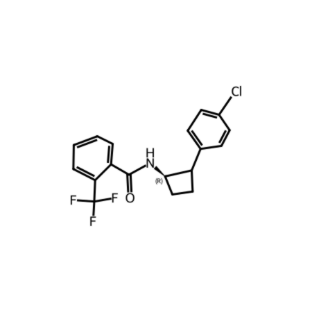 O=C(N[C@@H]1CCC1c1ccc(Cl)cc1)c1ccccc1C(F)(F)F